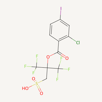 O=C(OC(CS(=O)(=O)O)(C(F)(F)F)C(F)(F)F)c1ccc(I)cc1Cl